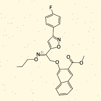 CCCO/N=C(\COc1cc2ccccc2cc1C(=O)OC)c1cc(-c2ccc(F)cc2)no1